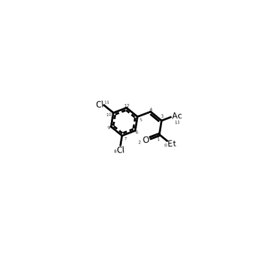 CCC(=O)C(=Cc1cc(Cl)cc(Cl)c1)C(C)=O